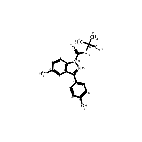 Cc1ccc2c(c1)c(-c1ccc(O)cc1)nn2C(=O)OC(C)(C)C